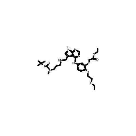 CCOCCOc1ccc(Nc2ncnc3[nH]cc(CNCCCN(C)C(=O)OC(C)(C)C)c23)cc1OCC(=O)OCC